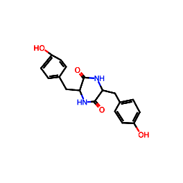 O=C1NC(Cc2ccc(O)cc2)C(=O)NC1Cc1ccc(O)cc1